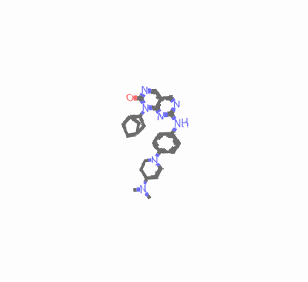 CN(C)C1CCN(c2ccc(Nc3ncc4cnc(=O)n(C5CC6CCC5C6)c4n3)cc2)CC1